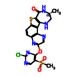 C[C@@H]1CNc2c(sc3ccc4nc(Oc5nc(Cl)ncc5S(C)(=O)=O)cnc4c23)C(=O)N1